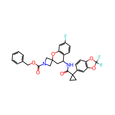 O=C(OCc1ccccc1)N1CC2(CC(NC(=O)C3(c4ccc5c(c4)OC(F)(F)O5)CC3)c3ccc(F)cc3O2)C1